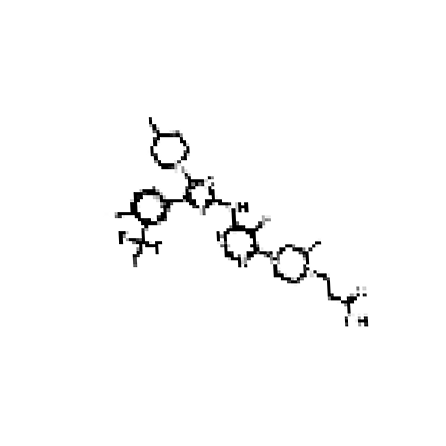 CC1CCN(c2sc(Nc3ncnc(N4CCN(CCC(=O)O)[C@H](C)C4)c3F)nc2-c2ccc(Cl)c(C(F)(F)F)c2)CC1